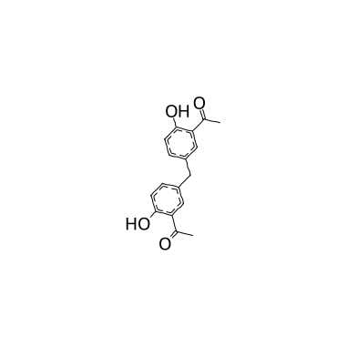 CC(=O)c1cc(Cc2ccc(O)c(C(C)=O)c2)ccc1O